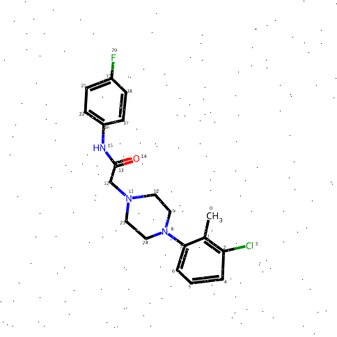 Cc1c(Cl)cccc1N1CCN(CC(=O)Nc2ccc(F)cc2)CC1